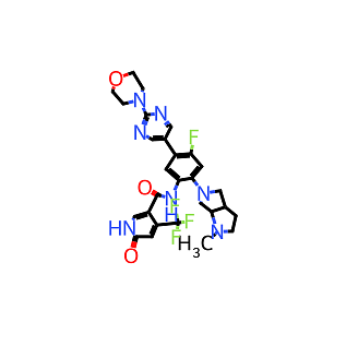 CN1CCC2CN(c3cc(F)c(-c4cnc(N5CCOCC5)nc4)cc3NC(=O)c3c[nH]c(=O)cc3C(F)(F)F)CC21